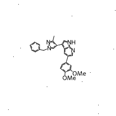 COc1ccc(-c2cnc3[nH]cc(-c4cn(Cc5ccccc5)nc4C)c3c2)cc1OC